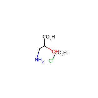 CCOC(=O)Cl.NCC(O)C(=O)O